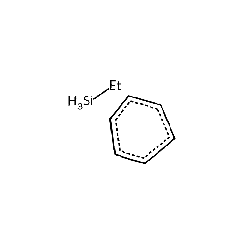 CC[SiH3].c1ccccc1